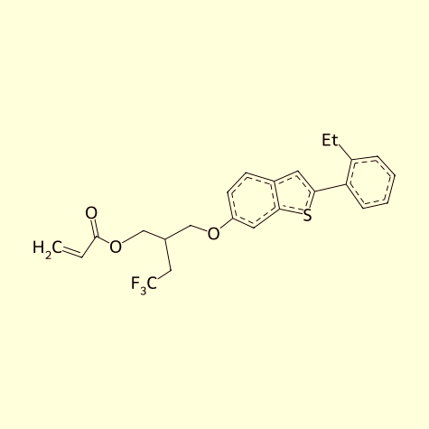 C=CC(=O)OCC(COc1ccc2cc(-c3ccccc3CC)sc2c1)CC(F)(F)F